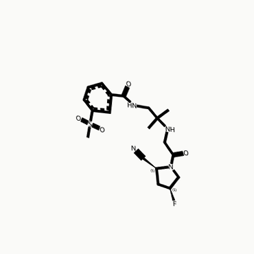 CC(C)(CNC(=O)c1cccc(S(C)(=O)=O)c1)NCC(=O)N1C[C@@H](F)C[C@H]1C#N